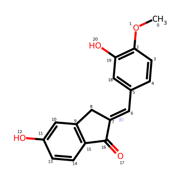 COc1ccc(/C=C2\Cc3cc(O)ccc3C2=O)cc1O